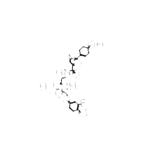 C=C(CCNC(=O)c1cnc(C2=CCC(O)CC2)o1)NC(=O)COc1ccc(Cl)c(F)c1